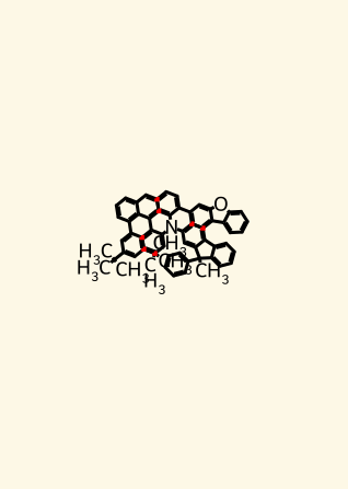 CC(C)(C)c1cc(-c2cccc3cccc(-c4ccccc4N(c4ccc5c(c4)C(C)(c4ccccc4)c4ccccc4-5)c4ccccc4-c4ccc5c(c4)oc4ccccc45)c23)cc(C(C)(C)C)c1